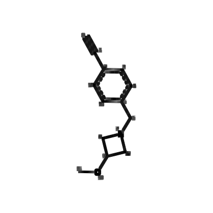 C#Cc1ccc(CN2CC(OC)C2)cc1